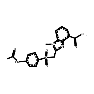 CC(=O)Nc1ccc(S(=O)(=O)Cc2nc3c(C(N)=O)cccc3n2C)cc1